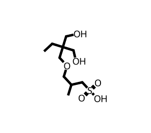 CCC(CO)(CO)COCC(C)CS(=O)(=O)O